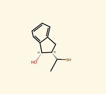 CC(S)[C@H]1Cc2ccccc2[C@H]1O